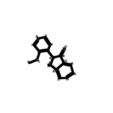 COc1cnccc1-n1[se]c2ccccc2c1=O